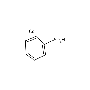 O=S(=O)(O)c1ccccc1.[Co]